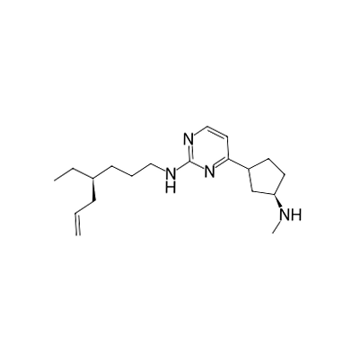 C=CC[C@@H](CC)CCCNc1nccc(C2CC[C@@H](NC)C2)n1